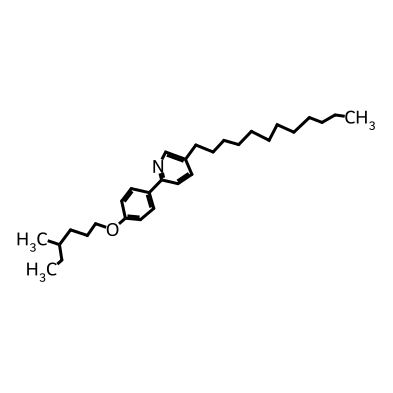 CCCCCCCCCCCCc1ccc(-c2ccc(OCCCC(C)CC)cc2)nc1